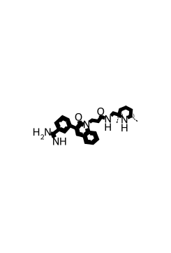 C[C@H]1CCC[C@](C)(CNC(=O)CCn2c(=O)c(-c3cccc(C(=N)N)c3)cc3ccccc32)N1